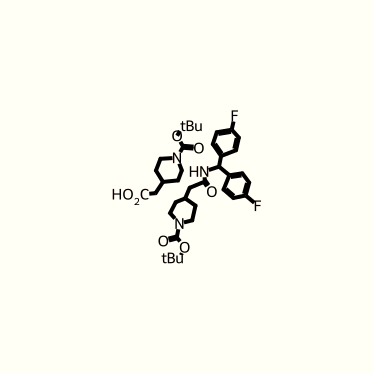 CC(C)(C)OC(=O)N1CCC(CC(=O)NC(c2ccc(F)cc2)c2ccc(F)cc2)CC1.CC(C)(C)OC(=O)N1CCC(CC(=O)O)CC1